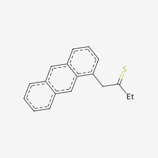 CCC(=S)Cc1cccc2cc3ccccc3cc12